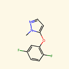 Cn1n[c]cc1Oc1cc(F)ccc1F